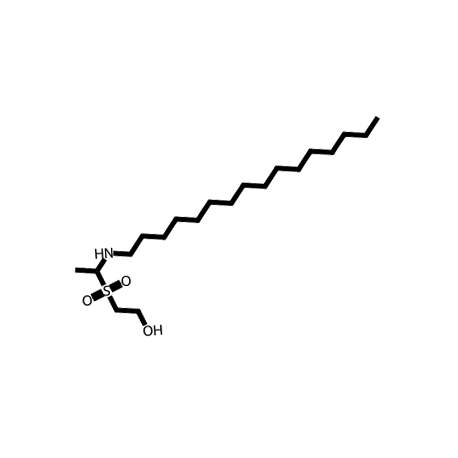 CCCCCCCCCCCCCCCCNC(C)S(=O)(=O)CCO